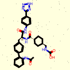 CC(=O)Nc1ccccc1-c1ccc(C[C@H](NC(=O)[C@H]2CC[C@H](CNC(=O)O)CC2)C(=O)Nc2ccc(-c3nn[nH]n3)cc2)cc1